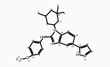 CC1CC(n2c(Nc3ccc(OC(F)(F)F)cc3)nc3cc(-c4ccn[nH]4)ccc32)CC(C)(C)C1